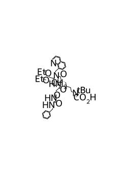 CCOC(OCC)[C@H](C)N(Cc1cccc2cccnc12)C(=O)[C@H](CCCCN(C(=O)O)C(C)(C)C)NC(=O)CONC(=O)NCc1ccccc1